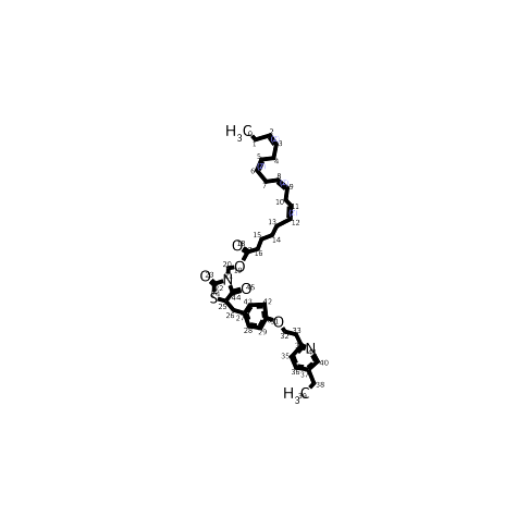 CC/C=C\C/C=C\C/C=C\C/C=C\CCCCC(=O)OCN1C(=O)SC(Cc2ccc(OCCc3ccc(CC)cn3)cc2)C1=O